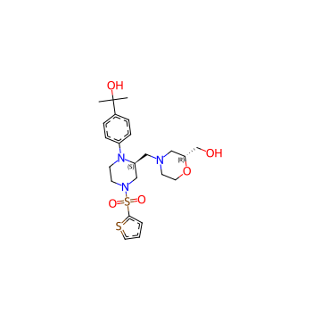 CC(C)(O)c1ccc(N2CCN(S(=O)(=O)c3cccs3)C[C@@H]2CN2CCO[C@@H](CO)C2)cc1